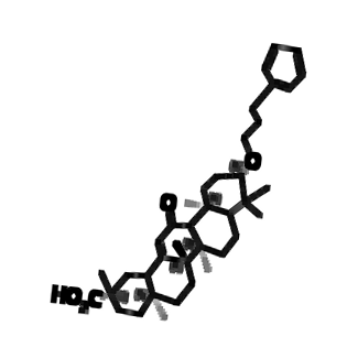 CC1(C)C2CC[C@]3(C)C(C(=O)C=C4C5C[C@@](C)(C(=O)O)CC[C@]5(C)CC[C@]43C)[C@@]2(C)CC[C@@H]1OCCCc1ccccc1